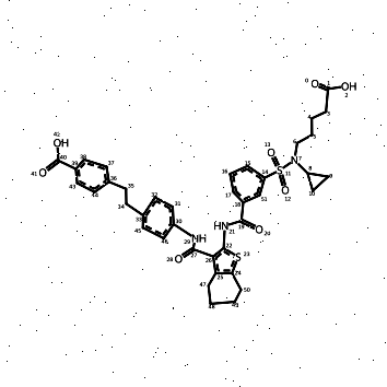 O=C(O)CCCCN(C1CC1)S(=O)(=O)c1cccc(C(=O)Nc2sc3c(c2C(=O)Nc2ccc(CCc4ccc(C(=O)O)cc4)cc2)CCCC3)c1